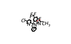 CCc1csc(NC(Cc2ccccc2)(c2cc(F)cc(C(F)(F)F)c2)c2ccc(Cl)cn2)n1